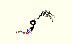 CCCCCCCCCOc1ncc(-c2ccc(OCCCC[Si](C)(C)CCCC)cc2)cn1